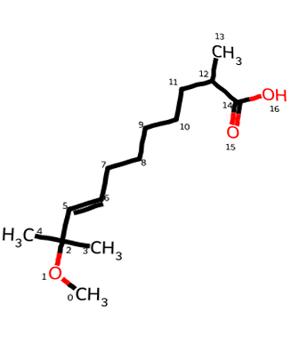 COC(C)(C)/C=C/CCCCCC(C)C(=O)O